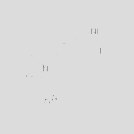 Cc1c(-c2cc(F)c(N)cc2F)c(F)cc2c3nocc3c(=O)n(C3CC3)c12